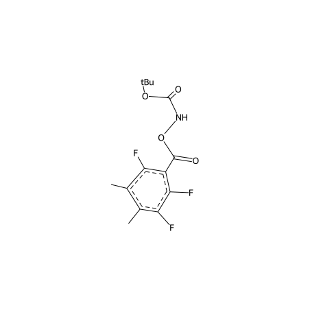 Cc1c(C)c(F)c(C(=O)ONC(=O)OC(C)(C)C)c(F)c1F